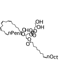 CCCCC/C=C\C/C=C\C/C=C\C/C=C\CCCCCC(=O)O[C@H](COC(=O)CCCCCCC/C=C\CCCCCCCC)COP(=O)(O)OC[C@@H](O)CO